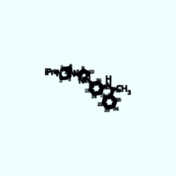 CC(C)N1CC2CC1CN2c1ccn(-c2cccc(N[C@@H](C)c3ccccc3)c2)n1